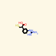 N=C(N)Nc1cccc(C(CS)C(=O)O)c1